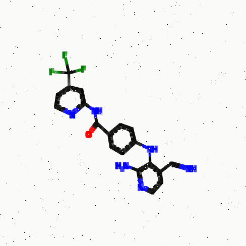 N=Cc1ccnc(N)c1Nc1ccc(C(=O)Nc2cc(C(F)(F)F)ccn2)cc1